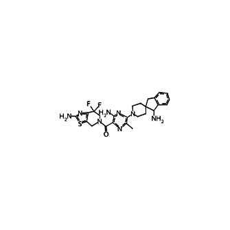 Cc1nc(C(=O)N2Cc3sc(N)nc3C(F)(F)C2)c(N)nc1N1CCC2(CC1)Cc1ccccc1C2N